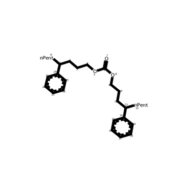 CCCCCC(CCCOC(=O)OCCCC(CCCCC)c1ccccc1)c1ccccc1